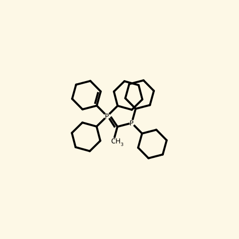 CC(P(C1CCCCC1)C1CCCCC1)=P(C1=CCCCC1)(C1CCCCC1)C1CCCCC1